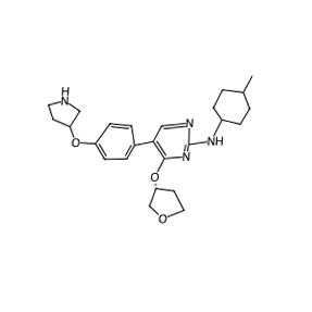 CC1CCC(Nc2ncc(-c3ccc(OC4CCNC4)cc3)c(O[C@@H]3CCOC3)n2)CC1